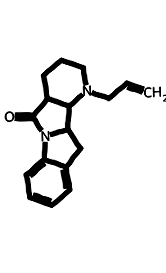 C=CCN1CCCC2C(=O)N3c4ccccc4CC3C21